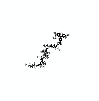 CN(C)CC(=O)NCC#Cc1cn([C@H]2C[C@@H](O)[C@@H](COP(=O)(O)OP(=O)(O)OP(=O)(O)NCCCN(C)CCCC[N+](C)(C)CCCNC(=O)c3ccc(C4=C5C=C(F)C(O)C=C5Oc5cc(O)c(F)cc54)c(S(=O)(=O)O)c3)O2)c(=O)[nH]c1=N